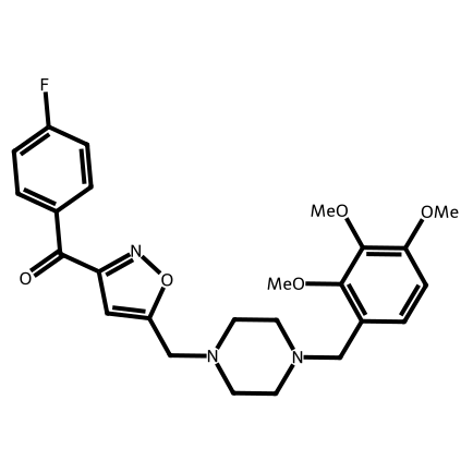 COc1ccc(CN2CCN(Cc3cc(C(=O)c4ccc(F)cc4)no3)CC2)c(OC)c1OC